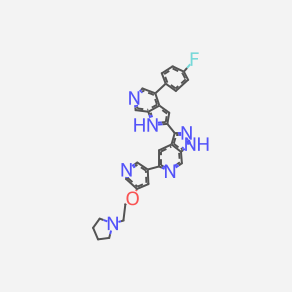 Fc1ccc(-c2cncc3[nH]c(-c4n[nH]c5cnc(-c6cncc(OCCN7CCCC7)c6)cc45)cc23)cc1